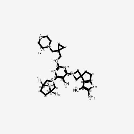 C[C@@H]1COCCN1CC1(COc2nc(N3C[C@H]4CC[C@@H](C3)N4)c(C#N)c(N3CC4(CCc5sc(N)c(C#N)c54)C3)n2)CC1